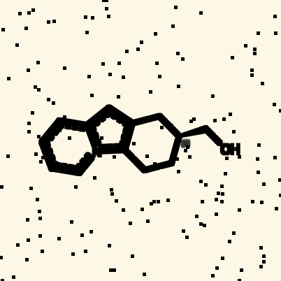 OC[C@H]1CCc2c(cc3ccccn23)C1